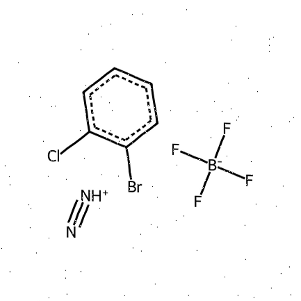 Clc1ccccc1Br.F[B-](F)(F)F.N#[NH+]